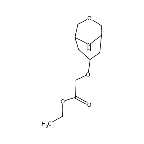 CCOC(=O)COC1CC2COCC(C1)N2